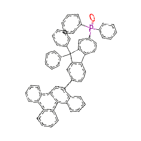 O=P(c1ccccc1)(c1ccccc1)c1ccc2c(c1)C(c1ccccc1)(c1ccccc1)c1cc(-c3cc4c5ccccc5c5ccccc5c4c4ccccc34)ccc1-2